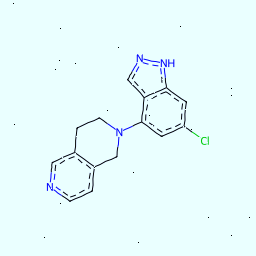 Clc1cc(N2CCc3cnccc3C2)c2cn[nH]c2c1